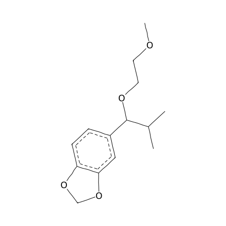 COCCOC(c1ccc2c(c1)OCO2)C(C)C